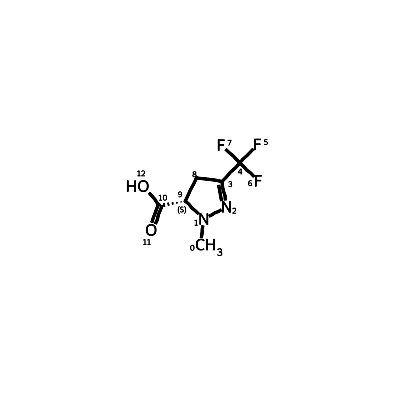 CN1N=C(C(F)(F)F)C[C@H]1C(=O)O